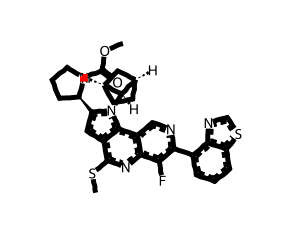 COC(=O)N1CCC[C@@H]1c1cc2c(SC)nc3c(F)c(-c4cccc5scnc45)ncc3c2n1[C@@H]1[C@@H]2CC[C@H]1C2